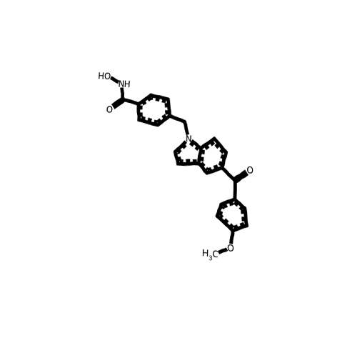 COc1ccc(C(=O)c2ccc3c(ccn3Cc3ccc(C(=O)NO)cc3)c2)cc1